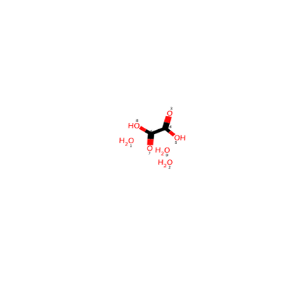 O.O.O.O=C(O)C(=O)O